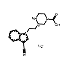 Cl.N#Cc1cn(CC[C@@H]2CN(C(=O)O)CCN2)c2ccccc12